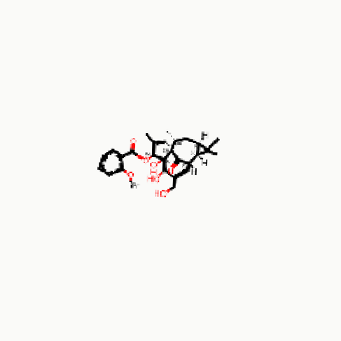 CC1=C[C@]23C(=O)[C@@H](C=C(CO)[C@@H](O)[C@]2(O)[C@H]1OC(=O)c1ccccc1OC(C)C)[C@H]1[C@@H](C[C@H]3C)C1(C)C